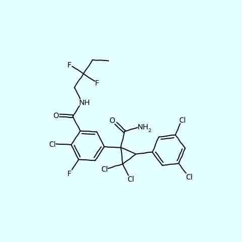 CCC(F)(F)CNC(=O)c1cc(C2(C(N)=O)C(c3cc(Cl)cc(Cl)c3)C2(Cl)Cl)cc(F)c1Cl